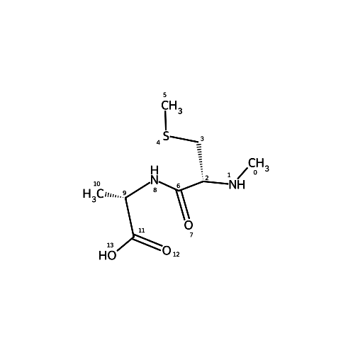 CN[C@@H](CSC)C(=O)N[C@@H](C)C(=O)O